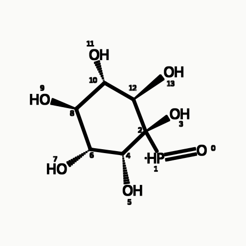 O=[PH][C@]1(O)[C@H](O)[C@H](O)[C@@H](O)[C@H](O)[C@H]1O